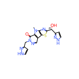 Cn1c2nc([C@H](O)c3cc[nH]n3)sc2c2cnn(Cc3cc[nH]n3)c(=O)c21